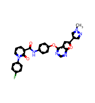 Cn1cc(-c2cc3c(Oc4ccc(NC(=O)c5cccn(-c6ccc(F)cc6)c5=O)cc4)ncnc3o2)cn1